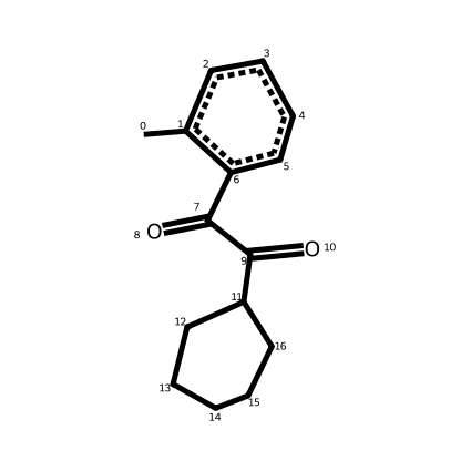 Cc1ccccc1C(=O)C(=O)C1CCCCC1